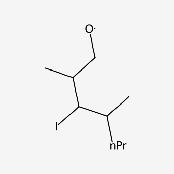 CCCC(C)C(I)C(C)C[O]